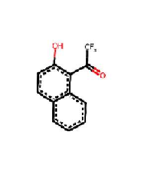 O=C(c1c(O)ccc2ccccc12)C(F)(F)F